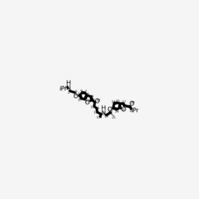 CC(C)NCCOc1ccc2cc(C(=O)CCCC(C)NC[C@@H](C)Oc3ccc4cc(C(=O)C(C)C)oc4c3)oc2c1